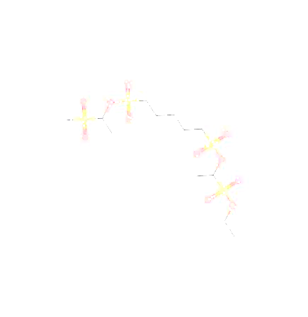 CCOS(=O)(=O)C(C)OS(=O)(=O)CCCCCS(=O)(=O)OC(C)S(C)(=O)=O